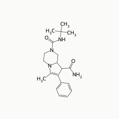 CC1=C(c2ccccc2)C(C(N)=O)C2CN(C(=O)NC(C)(C)C)CCN12